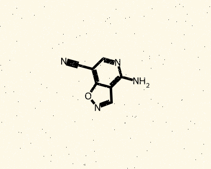 N#Cc1cnc(N)c2cnoc12